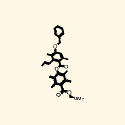 C/C=C/c1c(C)c(OCc2ccccc2)cc(C)c1C(=O)Oc1c(C)c(C)c(C(=O)OCOC)c(C)c1C